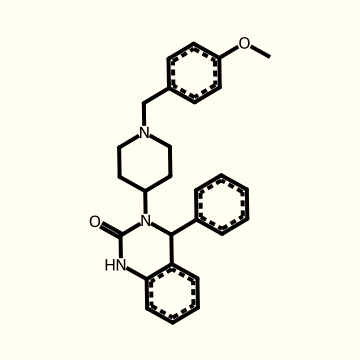 COc1ccc(CN2CCC(N3C(=O)Nc4ccccc4C3c3ccccc3)CC2)cc1